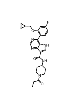 CCC(=O)N1CCC(NC(=O)c2c[nH]c3c(-c4ccc(F)cc4OCC4CC4)ncnc23)CC1